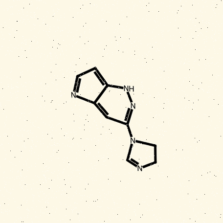 C1=NCCN1c1cc2nccc-2[nH]n1